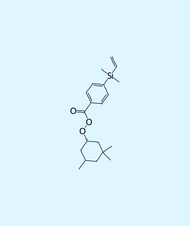 C=C[Si](C)(C)c1ccc(C(=O)OO[C]2CC(C)CC(C)(C)C2)cc1